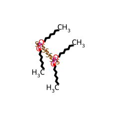 CCCCCCCCOP(=S)(OCCCCCCCC)SSSSSSP(=S)(OCCCCCCCC)OCCCCCCCC